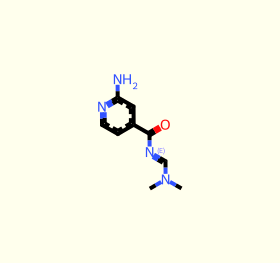 CN(C)/C=N/C(=O)c1ccnc(N)c1